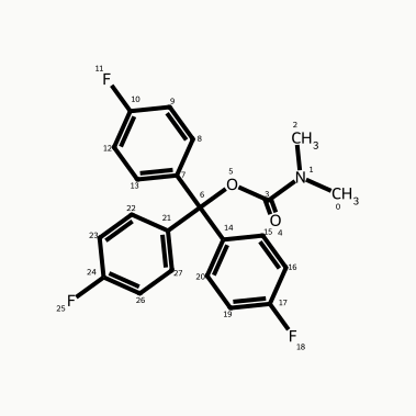 CN(C)C(=O)OC(c1ccc(F)cc1)(c1ccc(F)cc1)c1ccc(F)cc1